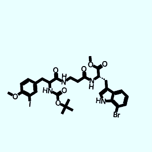 COC(=O)[C@H](Cc1c[nH]c2c(Br)cccc12)NC(=O)CCNC(=O)C(Cc1ccc(OC)c(I)c1)NC(=O)OC(C)(C)C